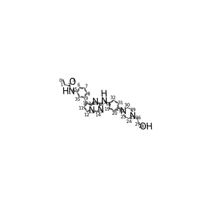 C=CC(=O)Nc1cccc(-c2ccn3cnc(Nc4ccc(N5CCN(CCO)CC5)cc4)nc23)c1